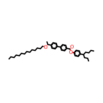 CCCCCCCCCCCCCCOC(C)c1ccc(-c2ccc(C(=O)Oc3ccc(C(CCC)CCCC)cc3)cc2)cc1